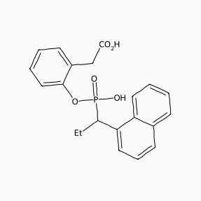 CCC(c1cccc2ccccc12)P(=O)(O)Oc1ccccc1CC(=O)O